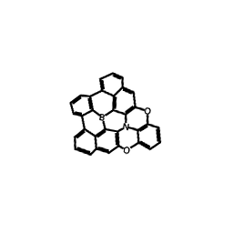 c1cc2c3c(c1)Oc1cc4cccc5c4c4c1N3c1c(cc3cccc6c3c1B4c1c-6cccc1-5)O2